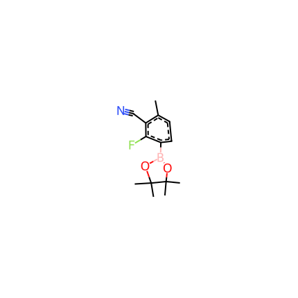 Cc1ccc(B2OC(C)(C)C(C)(C)O2)c(F)c1C#N